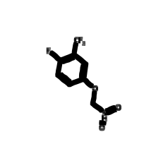 O=[SH](=O)COc1ccc(F)c(C(F)(F)F)c1